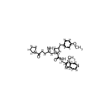 COc1ccc(CC2CC(C(=O)NCc3nc4ccncc4n3C)N(CC(N)CCC(=O)N3CCCC3)C2)cc1